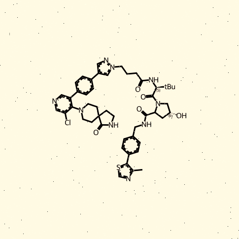 Cc1ncsc1-c1ccc(CNC(=O)C2C[C@@H](O)CN2C(=O)[C@@H](NC(=O)CCCn2cc(-c3ccc(-c4cncc(Cl)c4N4CCC5(CCNC5=O)CC4)cc3)cn2)C(C)(C)C)cc1